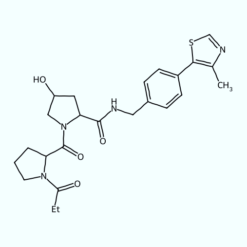 CCC(=O)N1CCCC1C(=O)N1CC(O)CC1C(=O)NCc1ccc(-c2scnc2C)cc1